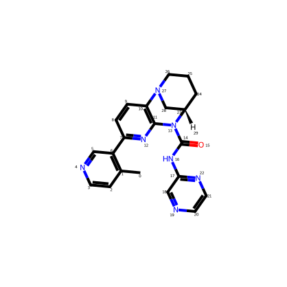 Cc1ccncc1-c1ccc2c(n1)N(C(=O)Nc1cnccn1)[C@H]1CCCN2C1